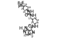 Cc1nc(C(=O)Nc2cccc(CNC(=O)Nc3ccc(C(F)(F)F)cc3)c2)c2c(N)nccn12